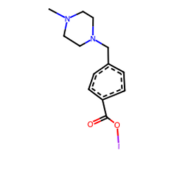 CN1CCN(Cc2ccc(C(=O)OI)cc2)CC1